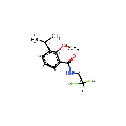 COc1c(C(=O)NCC(F)(F)F)cccc1C(C)C